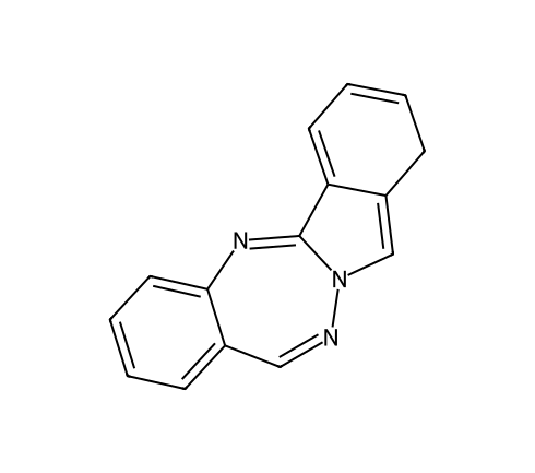 C1=CCc2cn3c(c2=C1)=Nc1ccccc1C=N3